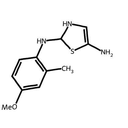 COc1ccc(NC2NC=C(N)S2)c(C)c1